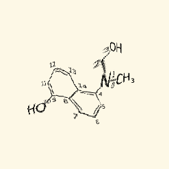 CN(CO)c1cccc2c(O)cccc12